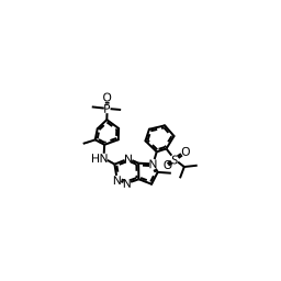 Cc1cc(P(C)(C)=O)ccc1Nc1nnc2cc(C)n(-c3ccccc3S(=O)(=O)C(C)C)c2n1